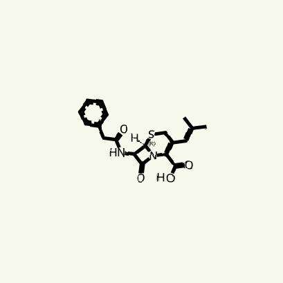 CC(C)=CC1=C(C(=O)O)N2C(=O)C(NC(=O)Cc3ccccc3)[C@H]2SC1